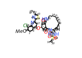 COc1ccc2c(O[C@H]3C[C@H]4C(=O)NCCCCC/C=C\[C@@H]5C[C@@]5(C(=O)NS(=O)(=O)C5CC5)NC(=O)[C@@H]4C3)cc(-c3nc(C(C)C)cs3)nc2c1Cl